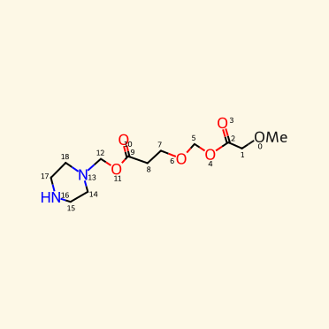 COCC(=O)OCOCCC(=O)OCN1CCNCC1